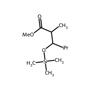 COC(=O)C(C)C(O[Si](C)(C)C)C(C)C